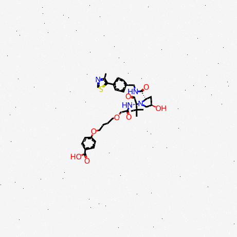 Cc1ncsc1-c1ccc(CNC(=O)[C@@H]2C[C@@H](O)CN2[C@@](C=O)(NC(=O)COCCCCOc2ccc(C(=O)O)cc2)C(C)(C)C)cc1